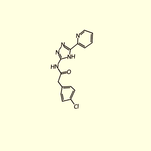 O=C(Cc1ccc(Cl)cc1)Nc1nnc(-c2ccccn2)[nH]1